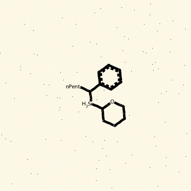 CCCCCC([SiH2]C1CCCCO1)c1ccccc1